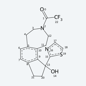 O=C(N1CCc2ccc3c(c2CC1)C(O)(c1nccs1)CC3)C(F)(F)F